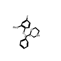 CSc1cc(F)ccc1O[C@@H](c1ccccc1)[C@@H]1CNCCO1